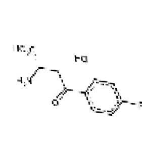 Cl.N[C@@H](CC(=O)c1ccc(F)cc1)C(=O)O